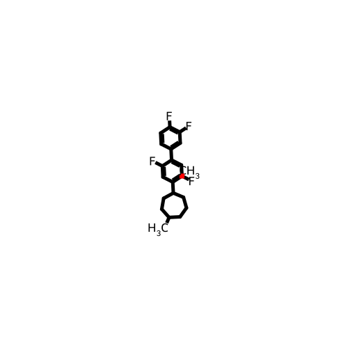 C\C=C(/C=C(F)\C(=C/CF)c1ccc(F)c(F)c1)C1CCCC(C)CC1